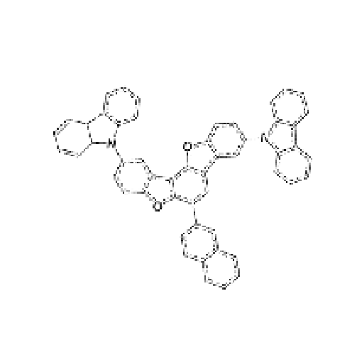 C1=CC2c3ccccc3N(c3ccc4oc5c(-c6ccc7ccccc7c6)cc6c7cc(-n8c9ccccc9c9ccccc98)ccc7oc6c5c4c3)C2C=C1